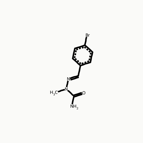 CN(N=Cc1ccc(Br)cc1)C(N)=O